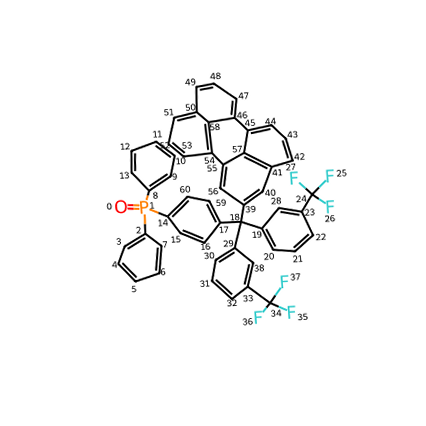 O=P(c1ccccc1)(c1ccccc1)c1ccc(C(c2cccc(C(F)(F)F)c2)(c2cccc(C(F)(F)F)c2)c2cc3cccc4c5cccc6cccc(c(c2)c34)c65)cc1